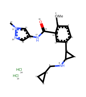 COc1ccc(C2CC2NCC2CC2)cc1C(=O)Nc1cnn(C)c1.Cl.Cl